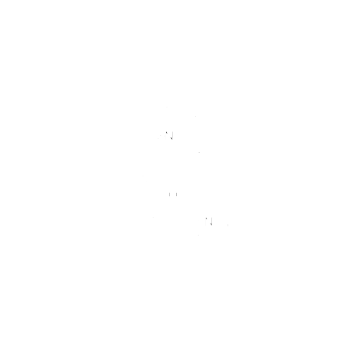 Cc1cccc(C=Cc2ccccc2OCCN(C)C)n1